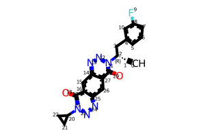 C#C[C@@H](Cc1cccc(F)c1)n1nnc2cc3c(=O)n(C4CC4)nnc3cc2c1=O